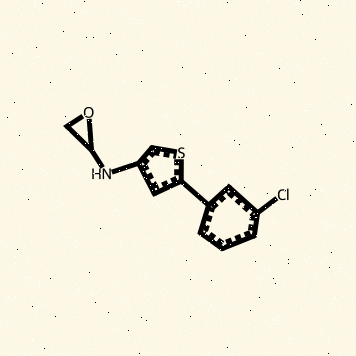 Clc1cccc(-c2cc(NC3CO3)cs2)c1